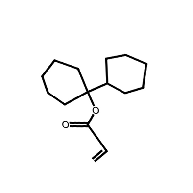 C=CC(=O)OC1(C2CCCCC2)CCCCC1